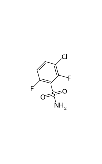 NS(=O)(=O)c1c(F)ccc(Cl)c1F